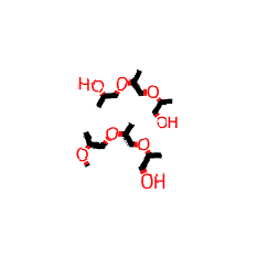 CC(O)COC(C)COC(C)CO.COC(C)COC(C)COC(C)CO